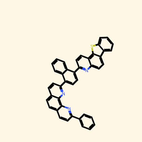 c1ccc(-c2ccc3ccc4ccc(-c5ccc(-c6ccc7c(ccc8c9ccccc9sc78)n6)c6ccccc56)nc4c3n2)cc1